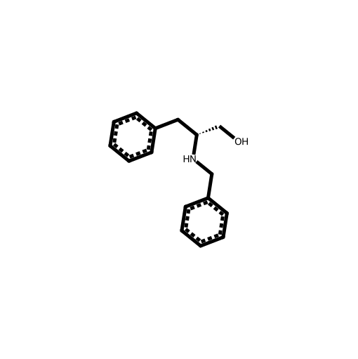 OC[C@@H](Cc1ccccc1)NCc1ccccc1